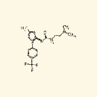 Cc1cn(-c2ccc(C(F)(F)F)cc2)c(=NC(=O)NCCN(C)C)s1